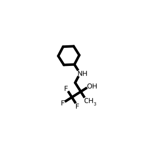 CC(O)(CNC1CCCCC1)C(F)(F)F